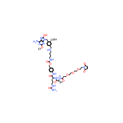 CCOc1nc(N)c2nc(O)n(Cc3ccc(CNCCCCNC(=O)OCc4ccc(NC(=O)[C@H](CCCNC(N)=O)NC(=O)[C@@H](NC(=O)CCOCCOCCOCCN5C(=O)C=CC5=O)C(C)C)cc4)cc3OC)c2n1